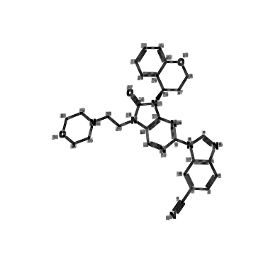 N#Cc1ccc2ncn(-c3ncc4c(n3)n([C@@H]3CCOc5ccccc53)c(=O)n4CCN3CCOCC3)c2c1